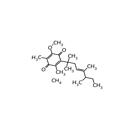 C.CCC(C)/C(C)=C/CC(C)(C)C1=C(C)C(=O)C(C)=C(OC)C1=O